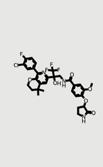 COc1cc(C(=O)NCC(O)(c2cc3c(c(-c4ccc(F)c(Cl)c4)n2)OCCC3(C)C)C(F)(F)F)ccc1OC1CCNC1=O